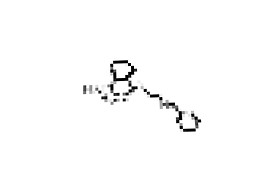 CC(C)c1ccccc1C(=O)OCCN=Cc1ccccc1